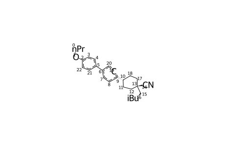 CCCOc1ccc(-c2ccc([C@H]3CC[C@@](C#N)(C[C@H](C)CC)CC3)cc2)cc1